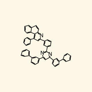 c1ccc(-c2cccc(-c3cc(-c4cccc(-c5ccccc5)c4)nc(-c4cccc(-c5cc(-c6ccccc6)c6c(ccc7ccccc76)n5)c4)n3)c2)cc1